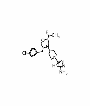 CC(F)[C@H]1CN(C2CCN(c3nnc(N)[nH]3)CC2)[C@@H](Cc2ccc(Cl)cc2)CO1